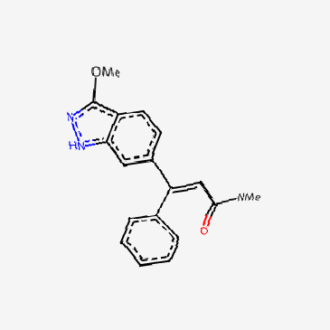 CNC(=O)/C=C(\c1ccccc1)c1ccc2c(OC)n[nH]c2c1